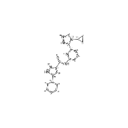 O=C(Nc1cccc(-c2nncn2C2CC2)n1)c1cc(-c2ccccc2)[nH]n1